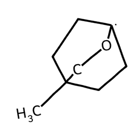 CC12CC[C](CC1)OC2